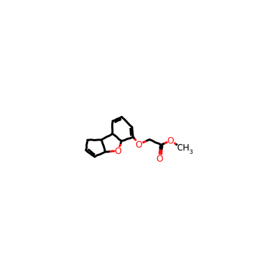 COC(=O)COC1=CC=CC2C1OC1C=CCC12